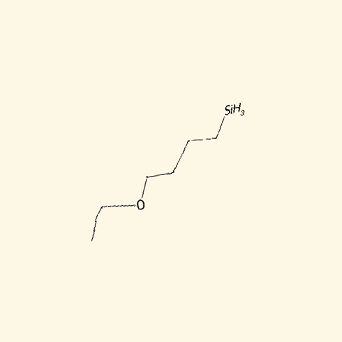 CCOCCCC[SiH3]